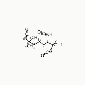 CC(CCCCC(C)(C)N=C=O)N=C=O.N=C=O